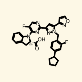 O=C(O)[C@@H]1Cc2ccccc2N1c1nc(-c2cc(-c3ccon3)n(Cc3ccc(C4CCCC4)cc3F)n2)ncc1F